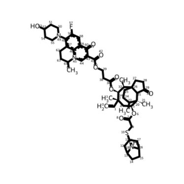 C=C[C@@]1(C)C[C@H](OC(=O)CSC2CC3CCC(C2)N3C)[C@@]2(C)C(C)CCC3(CCC(=O)C32)[C@H](C)[C@@H]1OC(=O)CCOC(=O)c1cn2c3c(c(N4CCC(O)CC4)c(F)cc3c1=O)CCC2C